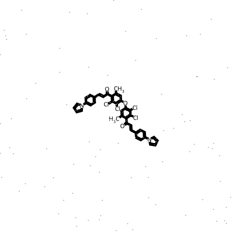 Cc1cc(Oc2cc(C)c(C(=O)C=Cc3ccc(-n4cccc4)cc3)c(Cl)c2Cl)c(Cl)c(Cl)c1C(=O)C=Cc1ccc(-n2cccc2)cc1